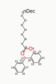 CCCCCCCCCCCCCCCCCC(=O)OC(c1ccccc1)c1ccccc1